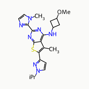 COC1CC(Nc2nc(-c3nccn3C)nc3sc(-c4ccn(C(C)C)n4)c(C)c23)C1